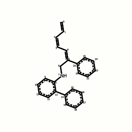 C=C/C=C\C=C(/CNc1ccccc1-c1ccccc1)c1ccccc1